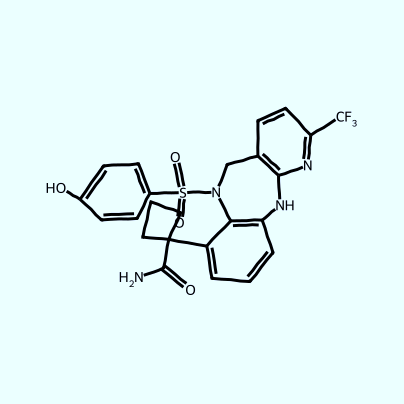 NC(=O)C1(c2cccc3c2N(S(=O)(=O)c2ccc(O)cc2)Cc2ccc(C(F)(F)F)nc2N3)CCC1